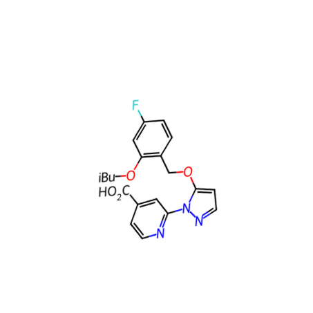 CCC(C)Oc1cc(F)ccc1COc1ccnn1-c1cc(C(=O)O)ccn1